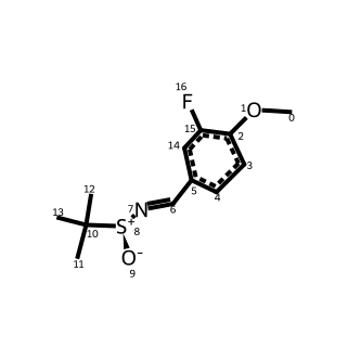 COc1ccc(C=N[S@@+]([O-])C(C)(C)C)cc1F